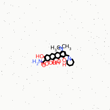 CN(C)c1cc(CN2CCCCCC2)c(O)c2c1CC1CC3CC(O)=C(C(N)=O)C(O)(O)C3C(O)=C1C2=O